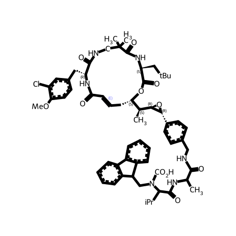 COc1ccc(C[C@H]2NC(=O)/C=C/C[C@@H]([C@H](C)[C@H]3O[C@@H]3c3ccc(CNC(=O)C(C)NC(=O)C(C(C)C)N(CC4c5ccccc5-c5ccccc54)C(=O)O)cc3)OC(=O)[C@H](CC(C)(C)C)NC(=O)C(C)(C)CNC2=O)cc1Cl